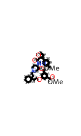 COC(=O)c1cc(OCCC2(CCN3CCC(NC(=O)c4occc4-c4ccc(C)cc4)CC3)CCCCC2)cc(C(=O)OC)c1